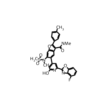 CNC(=O)c1c(-c2ccc(C)cc2)oc2cc(N(C)S(C)(=O)=O)c(-c3cc(O)nc(-c4nc5c(F)cccc5o4)c3)cc12